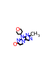 Cc1ncc2c(n1)n(C1CCOCC1)c1nc(=O)ccn21